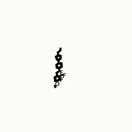 CCCc1ccc(-c2ccc(CCc3ccc(OCC)c(F)c3C(F)F)cc2)cc1